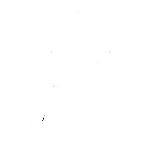 Cc1c(C(=O)N[C@H]2C[C@H](C(=O)O)C2)cc(-c2cc(C(=O)N[C@@H](C)C(F)(F)F)cc(C3(C)CC3)c2)n1CC1CCCCC1